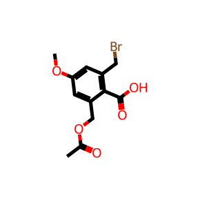 COc1cc(CBr)c(C(=O)O)c(COC(C)=O)c1